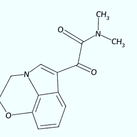 CN(C)C(=O)C(=O)c1cn2c3c(cccc13)OCC2